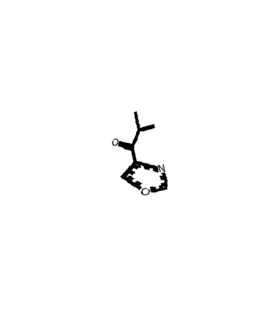 CC(C)C(=O)c1cocn1